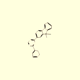 CC1(C)c2ccccc2-c2ccc(-c3ncnc(C4=CC=CCC4)n3)cc21